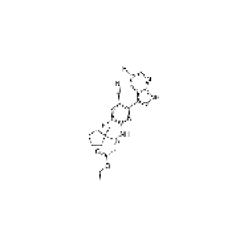 CCOC(=O)C[C@@H](Nc1nc(-c2c[nH]c3ncc(F)cc23)c(C#N)cc1F)C1(C)CCCC1